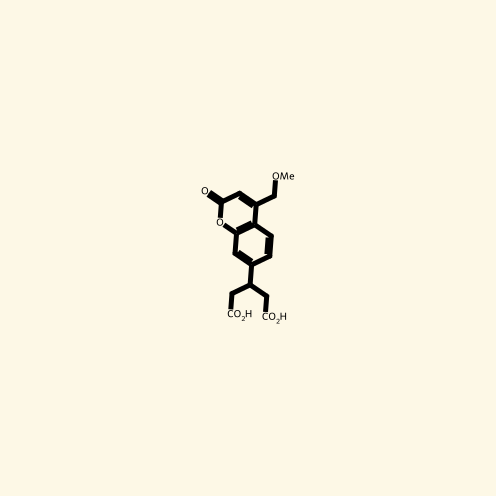 COCc1cc(=O)oc2cc(C(CC(=O)O)CC(=O)O)ccc12